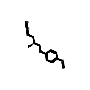 [N-]=[N+]=NC[C@@H](F)COc1ccc(N=O)cc1